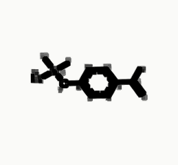 C=C(C)c1ccc(O[Si](C)(C)CC)cc1